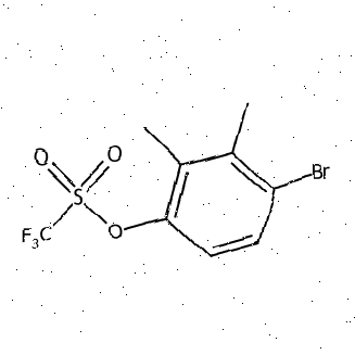 Cc1c(Br)ccc(OS(=O)(=O)C(F)(F)F)c1C